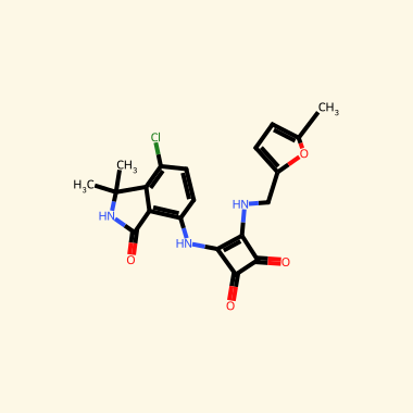 Cc1ccc(CNc2c(Nc3ccc(Cl)c4c3C(=O)NC4(C)C)c(=O)c2=O)o1